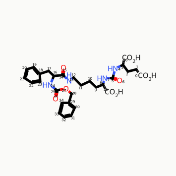 O=C(O)CCC(NC(=O)NC(CCCCNC(=O)C(Cc1ccccc1)NC(=O)OCc1ccccc1)C(=O)O)C(=O)O